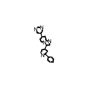 c1ccc(-c2cc(-c3cnc4cc(-c5cncnc5)ccn34)ccn2)cc1